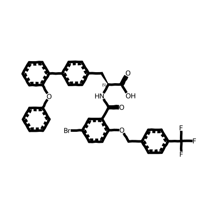 O=C(N[C@@H](Cc1ccc(-c2ccccc2Oc2ccccc2)cc1)C(=O)O)c1cc(Br)ccc1OCc1ccc(C(F)(F)F)cc1